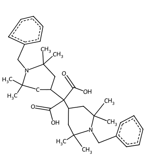 CC1(C)CC(C(C(=O)O)(C(=O)O)C2CC(C)(C)N(Cc3ccccc3)C(C)(C)C2)CC(C)(C)N1Cc1ccccc1